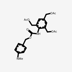 CNc1ccc(COC(=O)Nc2c(COC(C)=O)cc(COC(C)=O)cc2COC(C)=O)cc1